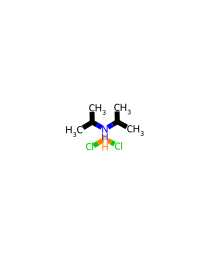 CC(C)NC(C)C.ClPCl